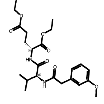 CCOC(=O)CC[C@@H](NC(=O)[C@@H](NC(=O)Cc1cccc(OC)c1)C(C)C)C(=O)OCC